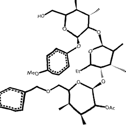 CCC1O[C@@H](OC2[C@@H](Oc3ccc(OC)cc3)OC(CO)[C@@H](C)[C@@H]2C)C(C)[C@H](C)[C@@H]1O[C@@H]1OC(COCc2ccccc2)[C@H](C)[C@H](C)C1OC(C)=O